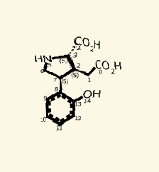 O=C(O)C[C@@H]1[C@@H](C(=O)O)NC[C@@H]1c1ccccc1O